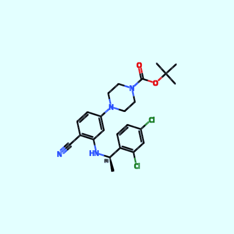 C[C@@H](Nc1cc(N2CCN(C(=O)OC(C)(C)C)CC2)ccc1C#N)c1ccc(Cl)cc1Cl